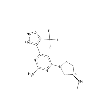 CN[C@@H]1CCN(c2cc(-c3[nH]ncc3C(F)(F)F)nc(N)n2)C1